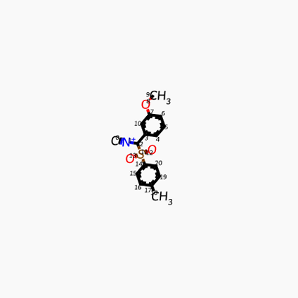 [C-]#[N+]C(c1cccc(OC)c1)S(=O)(=O)c1ccc(C)cc1